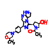 CC(=O)N1C[C@H](O)C[C@@H]1c1nc(-c2ccc(N3CCO[C@H](C)C3)cc2)c2cnc3[nH]ccc3n12